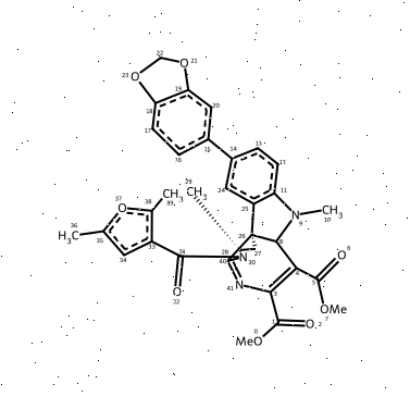 COC(=O)C1=C(C(=O)OC)C2N(C)c3ccc(-c4ccc5c(c4)OCO5)cc3[C@@]23C[C@@H](C)N(C(=O)c2cc(C)oc2C)C3=N1